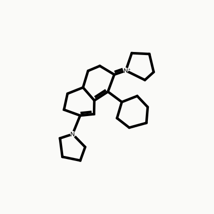 C1=C(N2CCCC2)CCC2CCC(=[N+]3CCCC3)C(C3CCCCC3)=C12